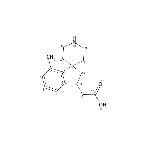 Cc1cccc2c1C1(CCNCC1)CC2CC(=O)O